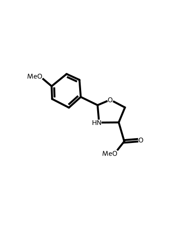 COC(=O)C1COC(c2ccc(OC)cc2)N1